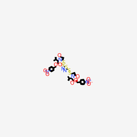 C=C(C)C(C(=O)OCc1ccc([N+](=O)[O-])cc1)N1C(=O)CC1SSc1nnc(SSC2CC(=O)N2C(C(=C)C)C(=O)OCc2ccc([N+](=O)[O-])cc2)s1